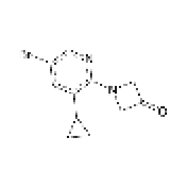 O=C1CN(c2ncc(Br)cc2C2CC2)C1